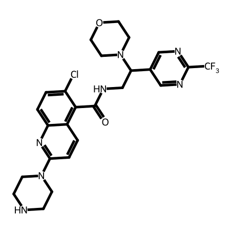 O=C(NCC(c1cnc(C(F)(F)F)nc1)N1CCOCC1)c1c(Cl)ccc2nc(N3CCNCC3)ccc12